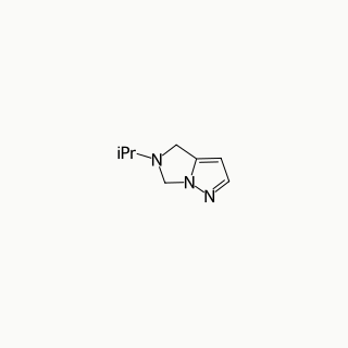 CC(C)N1Cc2ccnn2C1